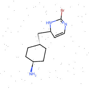 N[C@H]1CC[C@H](CC2[C]=CN=C(Br)N2)CC1